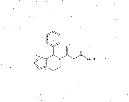 O=C(O)NCC(=O)N1CCn2cccc2C1c1ccccc1